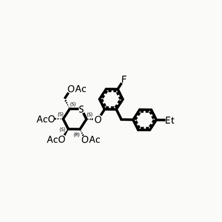 CCc1ccc(Cc2cc(F)ccc2O[C@H]2S[C@@H](COC(C)=O)[C@@H](OC(C)=O)[C@H](OC(C)=O)[C@H]2OC(C)=O)cc1